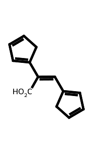 O=C(O)/C(=C\C1=CC=CC1)C1=CC=CC1